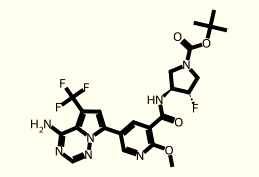 COc1ncc(-c2cc(C(F)(F)F)c3c(N)ncnn23)cc1C(=O)N[C@H]1CN(C(=O)OC(C)(C)C)C[C@@H]1F